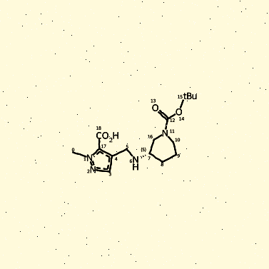 Cn1ncc(CN[C@H]2CCCN(C(=O)OC(C)(C)C)C2)c1C(=O)O